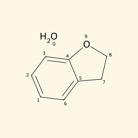 O.c1ccc2c(c1)CCO2